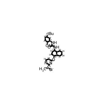 COc1ccc(C(C)(C)C)cc1NC(=O)Nc1ccc(Oc2ccnc([S+](C)[O-])n2)c2ccccc12